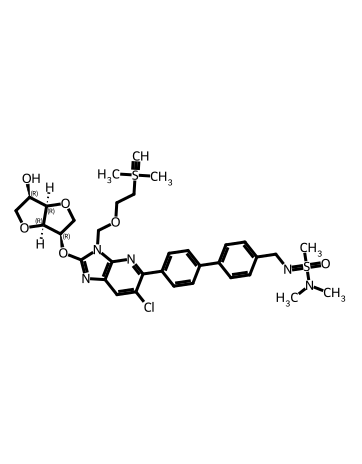 C#S(C)(C)CCOCn1c(O[C@@H]2CO[C@H]3[C@@H]2OC[C@H]3O)nc2cc(Cl)c(-c3ccc(-c4ccc(CN=S(C)(=O)N(C)C)cc4)cc3)nc21